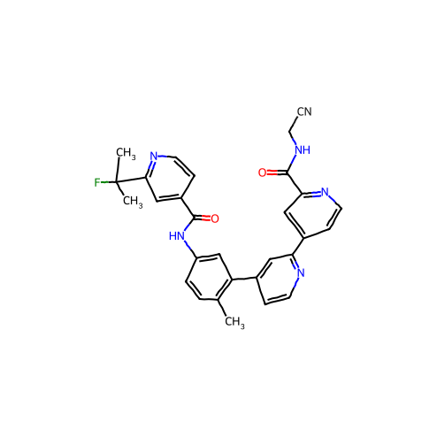 Cc1ccc(NC(=O)c2ccnc(C(C)(C)F)c2)cc1-c1ccnc(-c2ccnc(C(=O)NCC#N)c2)c1